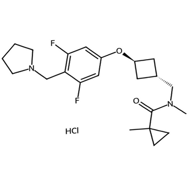 CN(C[C@H]1C[C@H](Oc2cc(F)c(CN3CCCC3)c(F)c2)C1)C(=O)C1(C)CC1.Cl